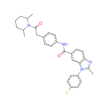 Cc1nc2ccc(C(=O)Nc3ccc(CC(=O)N4C(C)CCCC4C)cc3)cc2n1-c1ccc(F)cc1